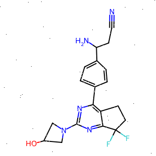 N#CCC(N)c1ccc(-c2nc(N3CC(O)C3)nc3c2CCC3(F)F)cc1